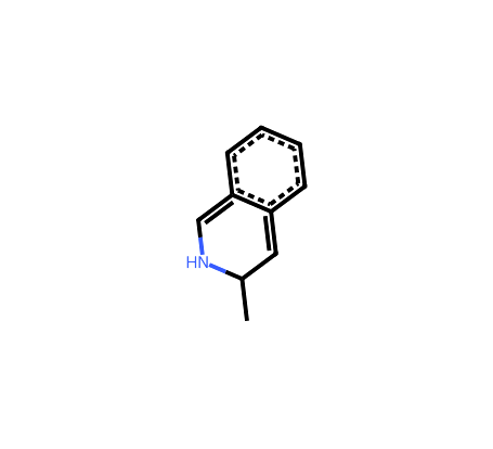 CC1C=c2ccccc2=CN1